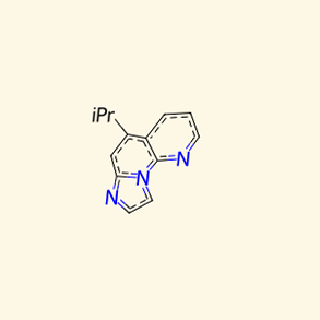 CC(C)c1cc2nccn2c2ncccc12